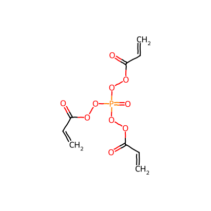 C=CC(=O)OOP(=O)(OOC(=O)C=C)OOC(=O)C=C